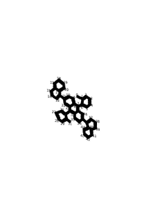 Cc1ccccc1-c1c2ccc(-c3cccc4ccccc34)cc2c(-c2ccccc2C)c2ccc(-c3cccc4ccccc34)cc12